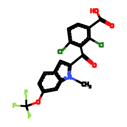 Cn1c(C(=O)c2c(Cl)ccc(C(=O)O)c2Cl)cc2ccc(OC(F)(F)F)cc21